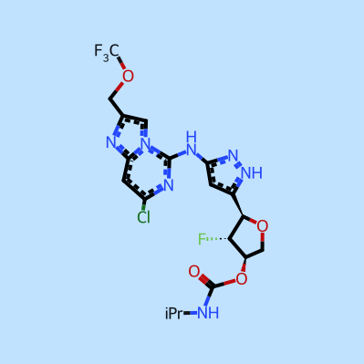 CC(C)NC(=O)O[C@@H]1CO[C@H](c2cc(Nc3nc(Cl)cc4nc(COC(F)(F)F)cn34)n[nH]2)[C@H]1F